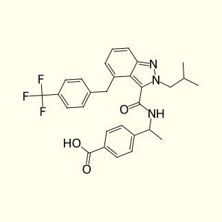 CC(C)Cn1nc2cccc(Cc3ccc(C(F)(F)F)cc3)c2c1C(=O)NC(C)c1ccc(C(=O)O)cc1